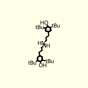 CC(C)(C)c1cc(CCCNNCCCc2cc(C(C)(C)C)c(O)c(C(C)(C)C)c2)cc(C(C)(C)C)c1O